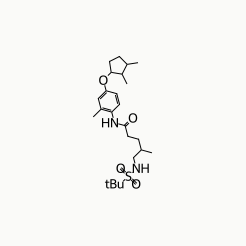 Cc1cc(OC2CCC(C)C2C)ccc1NC(=O)CCC(C)CNS(=O)(=O)C(C)(C)C